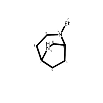 CCN1CCC2CCC1CN2